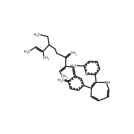 C=C(CCC(CC)/C(C)=C/C)C(/C=c1/cc(C2=C(c3cccc(C)n3)NC=CC=C2)ccc1=C)=C/C